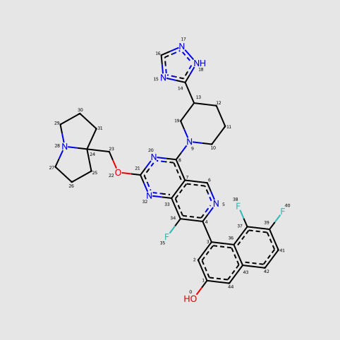 Oc1cc(-c2ncc3c(N4CCCC(c5ncn[nH]5)C4)nc(OCC45CCCN4CCC5)nc3c2F)c2c(F)c(F)ccc2c1